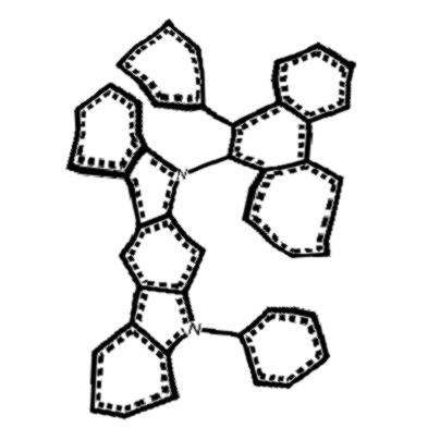 c1ccc(-c2c(-n3c4ccccc4c4cc5c6ccccc6n(-c6ccccc6)c5cc43)c3ccccc3c3ccccc23)cc1